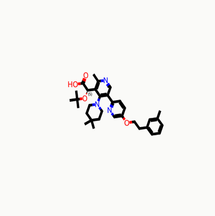 Cc1cccc(CCOc2ccc(-c3cnc(C)c([C@H](OC(C)(C)C)C(=O)O)c3N3CCC(C)(C)CC3)nc2)c1